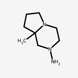 CC12CCCN1CCN(N)C2